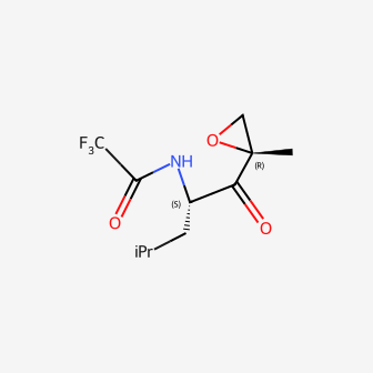 CC(C)C[C@H](NC(=O)C(F)(F)F)C(=O)[C@@]1(C)CO1